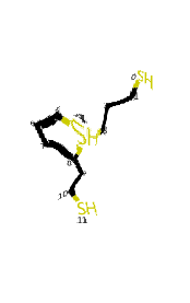 SCCC[SH]1C=CC=C1CCS